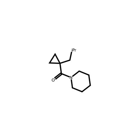 CC(C)CC1(C(=O)N2CCCCC2)CC1